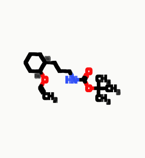 C=CO[C@H]1CCCC[C@H]1CCCNC(=O)OC(C)(C)C